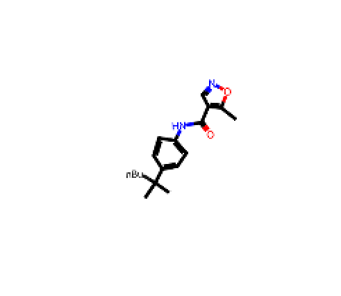 CCCCC(C)(C)c1ccc(NC(=O)c2cnoc2C)cc1